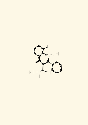 CC(N)c1c(-c2ccccc2)n(C)c2c(F)cccc2c1=O.Cl